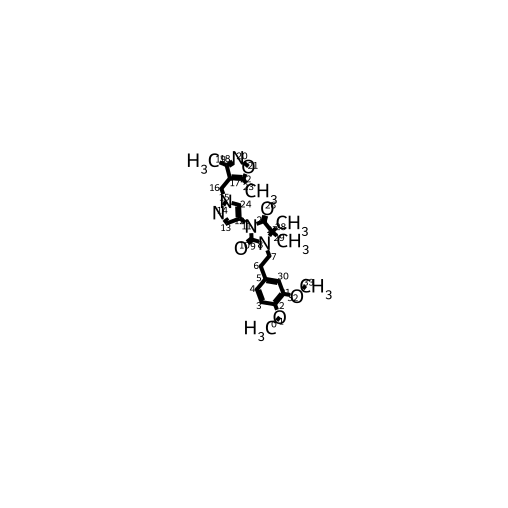 COc1ccc(CCN2C(=O)N(c3cnn(Cc4c(C)noc4C)c3)C(=O)C2(C)C)cc1OC